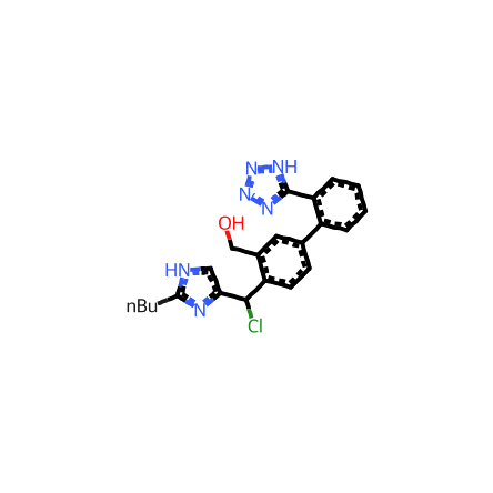 CCCCc1nc(C(Cl)c2ccc(-c3ccccc3-c3nnn[nH]3)cc2CO)c[nH]1